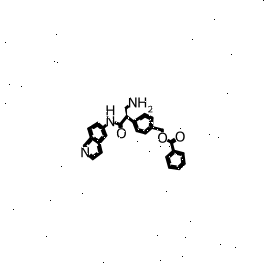 NC[C@H](C(=O)Nc1ccc2cnccc2c1)c1ccc(COC(=O)c2ccccc2)cc1